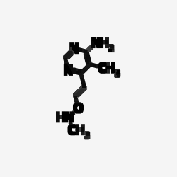 CNO/C=C/c1ncnc(N)c1C